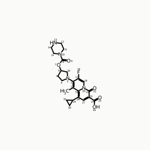 Cc1c(N2CCC(OC(=O)N3CCNCC3)C2)c(F)cn2c(=O)c(C(=O)O)cc(C3CC3)c12